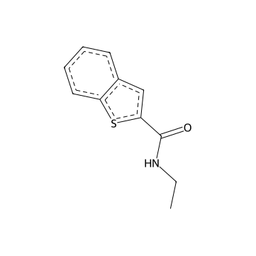 CCNC(=O)c1cc2ccccc2s1